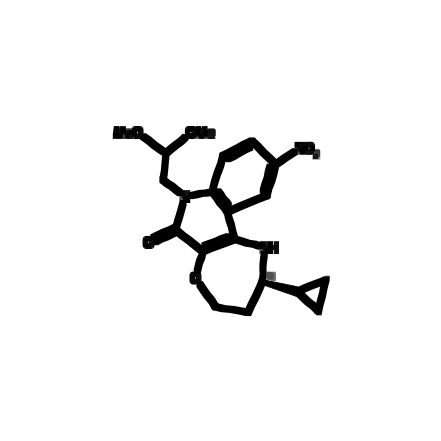 COC(Cn1c(=O)c2c(c3cc([N+](=O)[O-])ccc31)N[C@@H](C1CC1)CCO2)OC